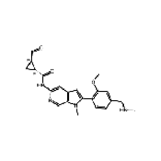 CNCc1ccc(-c2cc3cc(NC(=O)[C@@H]4C[C@H]4C=O)ncc3n2C)c(OC)c1